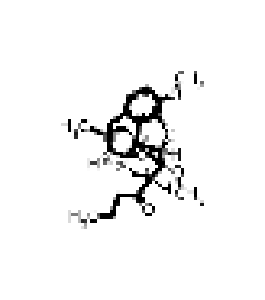 CCCC(=O)[C@H]1C[C@@]23CC[C@@]1(OC)[C@@H]1Oc4c(OC)ccc5c4[C@@]12CCN(C)[C@@H]3C5